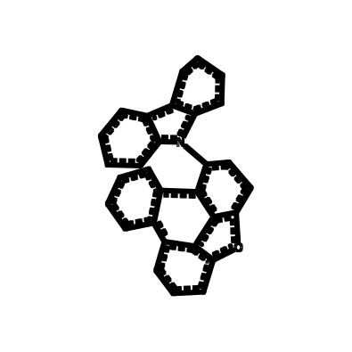 c1ccc2c(c1)c1cccc3oc4ccc(-n5c6ccccc6c6ccccc65)c2c4c31